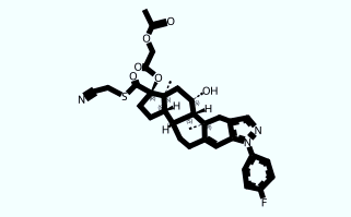 CC(=O)OCC(=O)O[C@]1(C(=O)SCC#N)CC[C@H]2[C@@H]3CCC4=Cc5c(cnn5-c5ccc(F)cc5)C[C@]4(C)[C@H]3[C@@H](O)C[C@@]21C